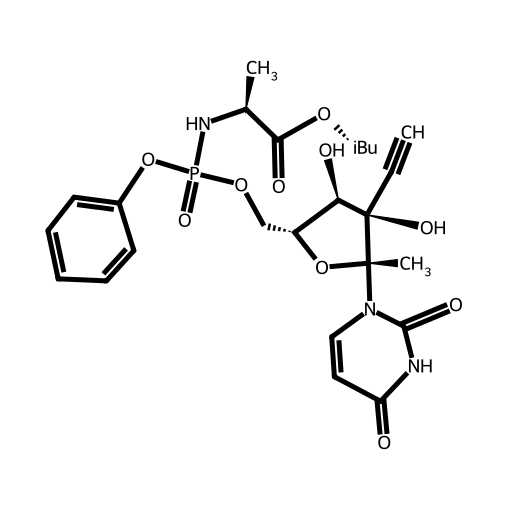 C#C[C@@]1(O)[C@H](O)[C@@H](COP(=O)(N[C@@H](C)C(=O)O[C@@H](C)CC)Oc2ccccc2)O[C@@]1(C)n1ccc(=O)[nH]c1=O